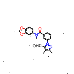 Cc1nn(-c2cccc(C(=O)N(C)c3ccc4c(c3)OCO4)c2)c(C=O)c1C